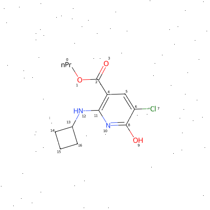 CCCOC(=O)c1cc(Cl)c(O)nc1NC1CCC1